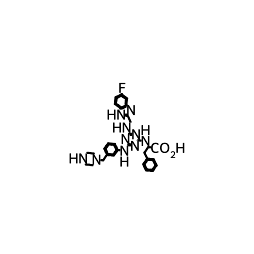 O=C(O)C(Cc1ccccc1)Nc1nc(NCc2nc3cc(F)ccc3[nH]2)nc(Nc2cccc(CN3CCNCC3)c2)n1